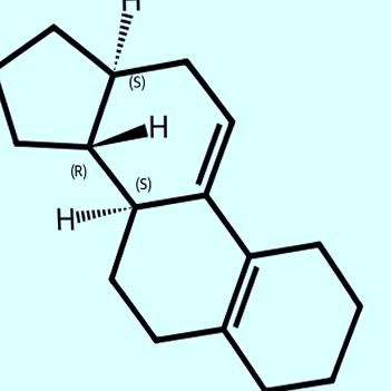 C1=C2C3=C(CCCC3)CC[C@H]2[C@@H]2CCC[C@H]2C1